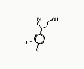 [N]CC(CCO)c1ccc(Cl)c(Cl)c1